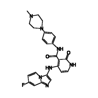 CN1CCN(c2ccc(NC(=O)c3c(Nc4cnc5cc(F)ccn45)cc[nH]c3=O)cc2)CC1